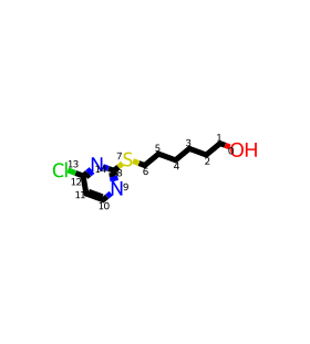 OCCCCCCSc1nccc(Cl)n1